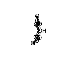 OC(CO[C@H]1COC2C1OC[C@H]2OCC1CO1)CO[C@@H]1COC2C1OC[C@@H]2OCC1CO1